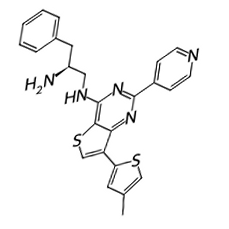 Cc1csc(-c2csc3c(NC[C@@H](N)Cc4ccccc4)nc(-c4ccncc4)nc23)c1